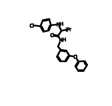 CC(C)C(Nc1ccc(Cl)cc1)C(=O)NCc1cccc(Oc2ccccc2)c1